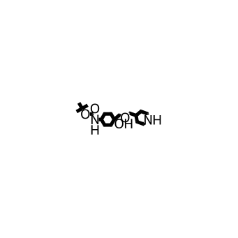 CC(C)(C)OC(=O)NC1CCC(O)(COCC2CCNCC2)CC1